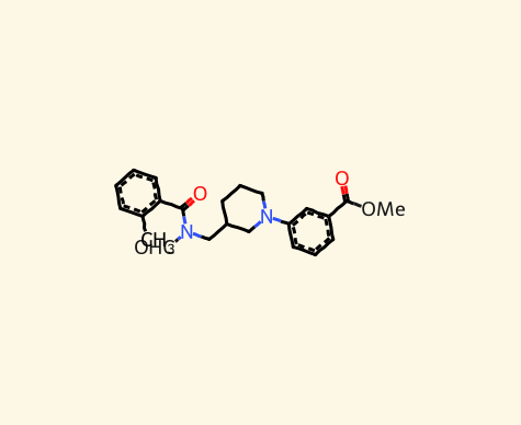 COC(=O)c1cccc(N2CCCC(CN(C=O)C(=O)c3ccccc3C)C2)c1